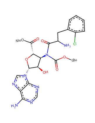 COC(=O)[C@H]1O[C@@H](n2cnc3c(N)ncnc32)[C@H](O)[C@@H]1N(C(=O)OC(C)(C)C)C(=O)C(N)Cc1ccccc1Cl